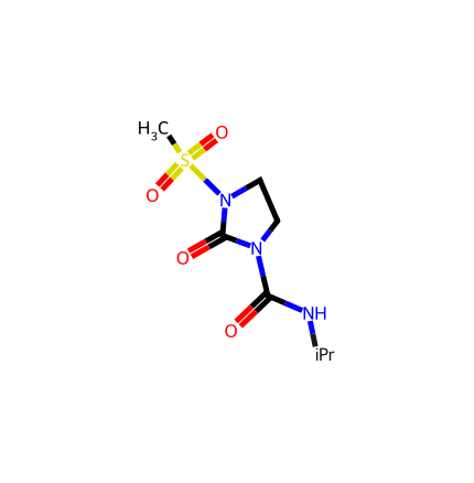 CC(C)NC(=O)N1CCN(S(C)(=O)=O)C1=O